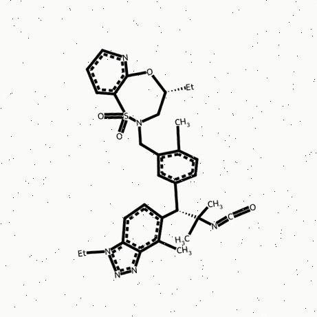 CC[C@@H]1CN(Cc2cc([C@@H](c3ccc4c(nnn4CC)c3C)C(C)(C)N=C=O)ccc2C)S(=O)(=O)c2cccnc2O1